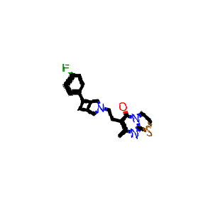 Cc1nc2n(c(=O)c1CCN1CC3CC(c4ccc(F)cc4)C3C1)CCS2